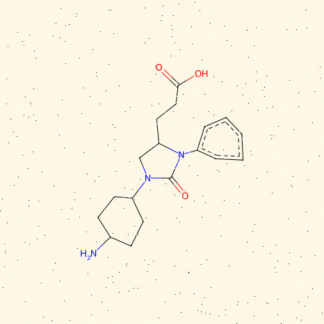 NC1CCC(N2CC(CCC(=O)O)N(c3ccccc3)C2=O)CC1